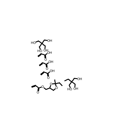 C=CC(=O)O.C=CC(=O)O.C=CC(=O)O.C=CC(=O)OCC1COC(C)(CC)O1.CCC(CO)(CO)CO.OCC(CO)(CO)CO